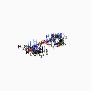 CC[C@H](NC(=O)[C@H]1C[C@@H](NCCOCCOCCC(=O)NCCn2nc3c(c2C#N)-c2cnc(N)c(c2)N2CCC[C@@H]2C2C=C(F)C=CC2C(=O)N(C)C3)CN1C(=O)[C@H](NC(=O)[C@@H](C)NC)C(C)(C)C)c1ccccc1